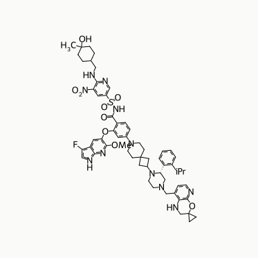 COc1nc2[nH]cc(F)c2cc1Oc1cc(N2CCC3(CC2)CC(N2CCN(Cc4ccnc5c4NCC4(CC4)O5)C[C@H]2c2ccccc2C(C)C)C3)ccc1C(=O)NS(=O)(=O)c1cnc(NCC2CCC(C)(O)CC2)c([N+](=O)[O-])c1